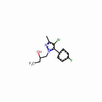 Cc1nn(CC(O)CC(F)(F)F)c(-c2ccc(F)cc2)c1Br